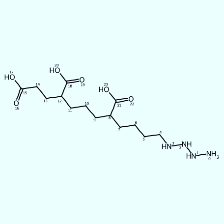 NNNNCCCCC(CCCC(CCC(=O)O)C(=O)O)C(=O)O